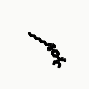 CCCCCCCCNS(=O)(=O)c1ccc(C(=[Se])N(CC)CC)cc1